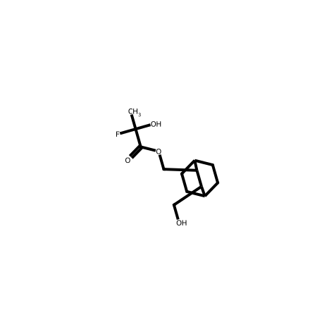 CC(O)(F)C(=O)OCC1C2CCC(CC2)C1CO